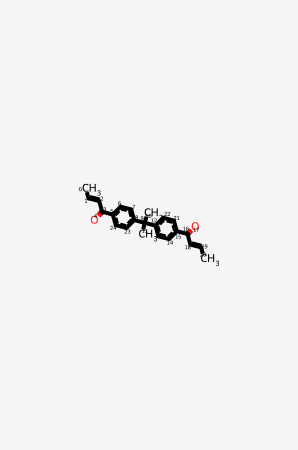 CC=CC(=O)c1ccc(C(C)(C)c2ccc(C(=O)C=CC)cc2)cc1